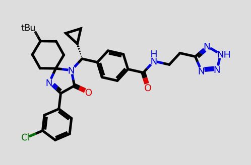 CC(C)(C)C1CCC2(CC1)N=C(c1cccc(Cl)c1)C(=O)N2[C@@H](c1ccc(C(=O)NCCc2nn[nH]n2)cc1)C1CC1